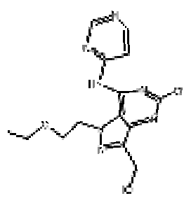 CCOCCn1nc(CO)c2nc(Cl)nc(Nc3ccncn3)c21